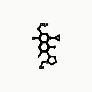 O=C(O)Oc1cn(C2CC2)c2c(F)c(N3CCC[C@H]3CO)c(F)cc2c1=O